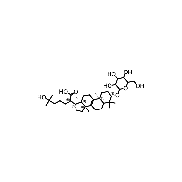 CC(C)(O)CCC[C@@H](C(=O)O)[C@H]1CC[C@@]2(C)C3=C(CC[C@]12C)[C@@]1(C)CC[C@H](OC2OC(CO)C(O)C(O)C2O)C(C)(C)C1CC3